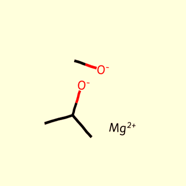 CC(C)[O-].C[O-].[Mg+2]